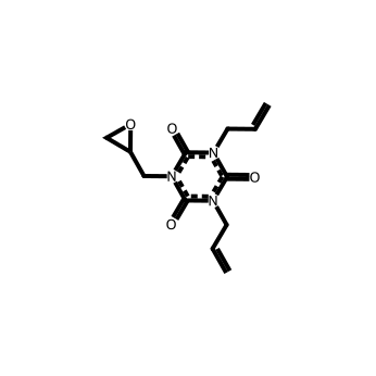 C=CCn1c(=O)n(CC=C)c(=O)n(CC2CO2)c1=O